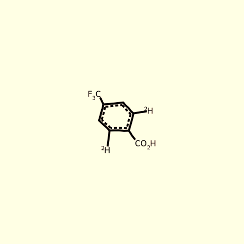 [2H]c1cc(C(F)(F)F)cc([2H])c1C(=O)O